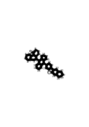 C1=c2sc3cccc4cc(-c5c6ccccc6c(-c6ccc7c(c6)oc6cc8ccccc8cc67)c6ccccc56)c(c2c43)CC1